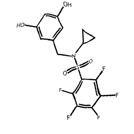 O=S(=O)(c1c(F)c(F)c(F)c(F)c1F)N(Cc1cc(O)cc(O)c1)C1CC1